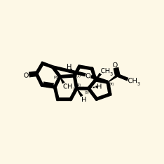 CC(=O)[C@]12CC[C@H]3[C@@H]4CCC5=CC(=O)CC(O1)[C@]5(C)[C@H]4CC[C@@]32C